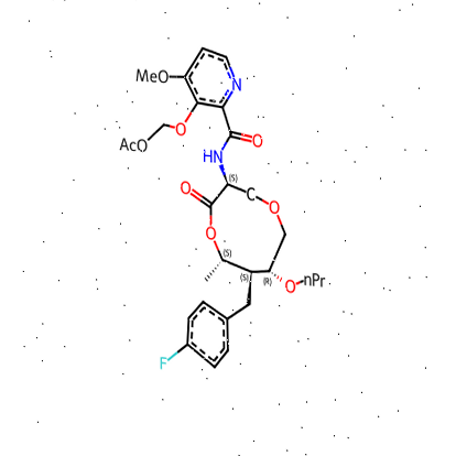 CCCO[C@H]1COC[C@H](NC(=O)c2nccc(OC)c2OCOC(C)=O)C(=O)O[C@@H](C)[C@@H]1Cc1ccc(F)cc1